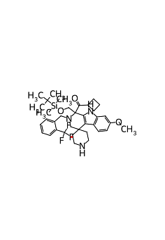 COc1ccc2c3c([nH]c2c1)C(CO[Si](C)(C)C(C)(C)C)(C(=O)C1CCC1)N(Cc1ccccc1C(F)(F)F)CC31CCNCC1